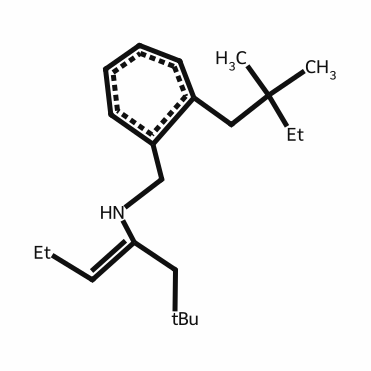 CC/C=C(/CC(C)(C)C)NCc1ccccc1CC(C)(C)CC